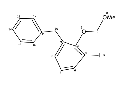 COCOc1c(I)cccc1Cc1ccccc1